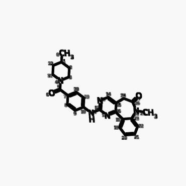 CC1CCN(C(=O)c2ccc(Nc3ncc4c(n3)-c3ccccc3N(C)C(=O)C4)cc2)CC1